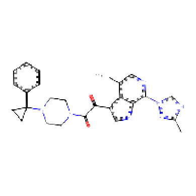 COc1cnc(-n2cnc(C)n2)c2[nH]cc(C(=O)C(=O)N3CCN(C4(c5ccccc5)CC4)CC3)c12